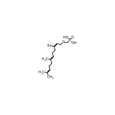 CC/C(=C/COCP(=O)(O)O)CC/C=C(\C)CCC=C(C)C